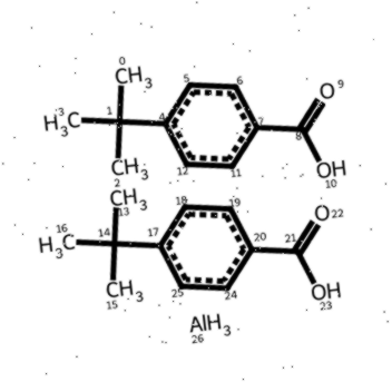 CC(C)(C)c1ccc(C(=O)O)cc1.CC(C)(C)c1ccc(C(=O)O)cc1.[AlH3]